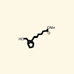 COC(=O)CCCC=CC1C2CCC(C2)C1CO